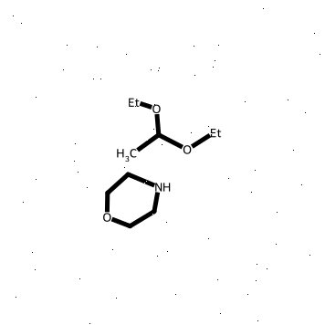 C1COCCN1.CCOC(C)OCC